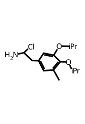 Cc1cc(CC(N)Cl)cc(OC(C)C)c1OC(C)C